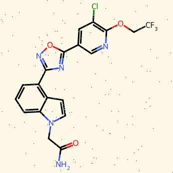 NC(=O)Cn1ccc2c(-c3noc(-c4cnc(OCC(F)(F)F)c(Cl)c4)n3)cccc21